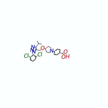 CC(C)c1nnn(-c2c(Cl)cccc2Cl)c1COC1CCN(c2ccc(C(=O)O)cc2)CC1